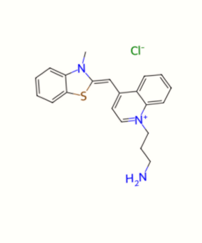 CN1/C(=C/c2cc[n+](CCCN)c3ccccc23)Sc2ccccc21.[Cl-]